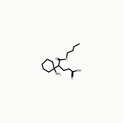 CCCCOC(=O)C(CCC(=O)O)C1(N)CCCCC1